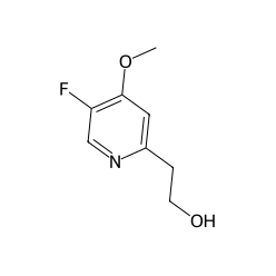 COc1cc(CCO)ncc1F